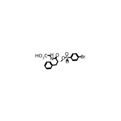 O=C(O)CNC(=O)[C@H](COS(=O)(=O)c1ccc(Br)cc1)Cc1ccccc1